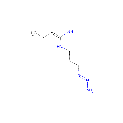 CC/C=C(/N)NCCCN=NN